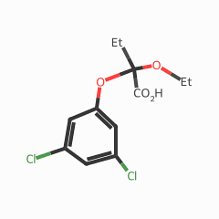 CCOC(CC)(Oc1cc(Cl)cc(Cl)c1)C(=O)O